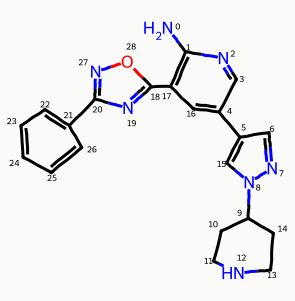 Nc1ncc(-c2cnn(C3CCNCC3)c2)cc1-c1nc(-c2ccccc2)no1